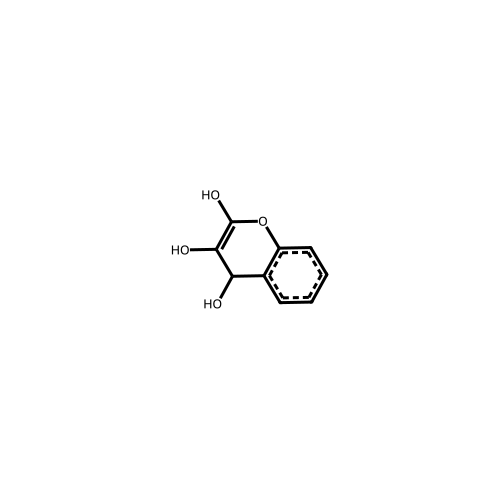 OC1=C(O)C(O)c2ccccc2O1